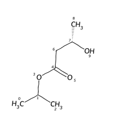 CC(C)OC(=O)C[C@H](C)O